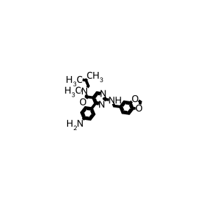 CC(C)CN(C)C(=O)c1cnc(NCc2ccc3c(c2)OCO3)nc1-c1ccc(N)cc1